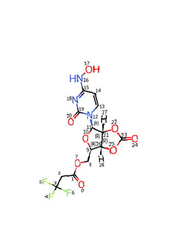 O=C(CC(F)(F)F)OC[C@H]1O[C@@H](n2ccc(NO)nc2=O)[C@@H]2OC(=O)O[C@@H]21